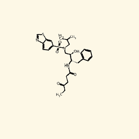 CCC(=O)CCC(=O)N[C@@H](Cc1ccccc1)[C@H](O)CN(CC(C)C)S(=O)(=O)c1ccc2ncsc2c1